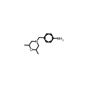 CC1CN(Cc2ccc(N)cc2)CC(C)O1